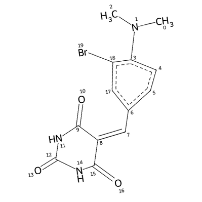 CN(C)c1ccc(C=C2C(=O)NC(=O)NC2=O)cc1Br